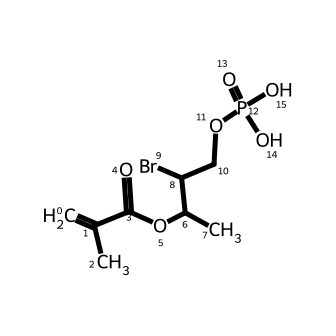 C=C(C)C(=O)OC(C)C(Br)COP(=O)(O)O